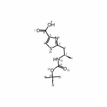 C[C@H](Cc1nc(C(=O)O)cs1)NC(=O)OC(C)(C)C